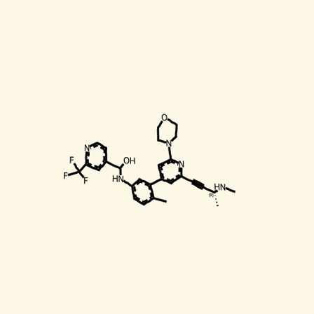 CN[C@H](C)C#Cc1cc(-c2cc(NC(O)c3ccnc(C(F)(F)F)c3)ccc2C)cc(N2CCOCC2)n1